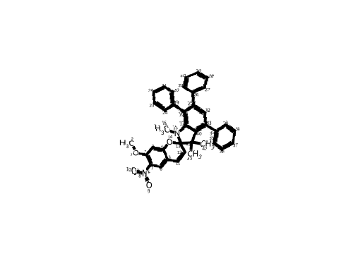 COc1cc2c(cc1[N+](=O)[O-])C=CC1(O2)N(C)c2c(-c3ccccc3)c(-c3ccccc3)cc(-c3ccccc3)c2C1(C)C